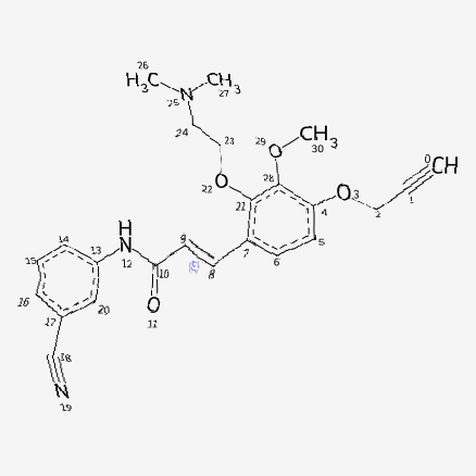 C#CCOc1ccc(/C=C/C(=O)Nc2cccc(C#N)c2)c(OCCN(C)C)c1OC